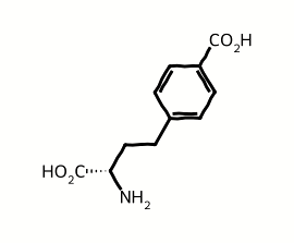 N[C@@H](CCc1ccc(C(=O)O)cc1)C(=O)O